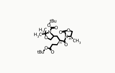 C[C@@H]1COC(=O)N1C(=O)[C@@H](CCC(=O)OC(C)(C)C)CC1COC(C)(C)N1C(=O)OC(C)(C)C